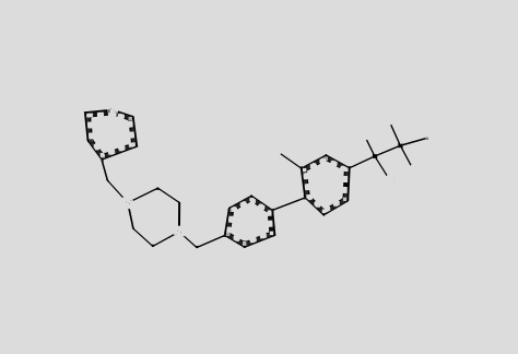 Cc1cc(C(O)(F)C(F)(F)F)ccc1-c1ccc(CN2CCN(Cc3ccncc3)CC2)cc1